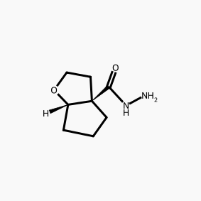 NNC(=O)[C@@]12CCC[C@@H]1OCC2